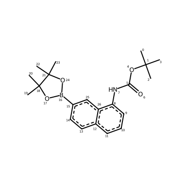 CC(C)(C)OC(=O)Nc1cccc2ccc(B3OC(C)(C)C(C)(C)O3)cc12